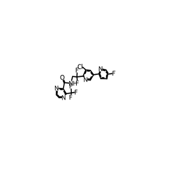 O=C(NCC(F)(F)c1ncc(-c2ccc(F)cn2)cc1Cl)c1nccnc1C(F)(F)F